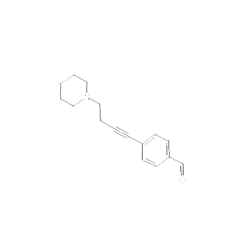 O=Cc1ccc(C#CCCN2CCCCC2)cc1